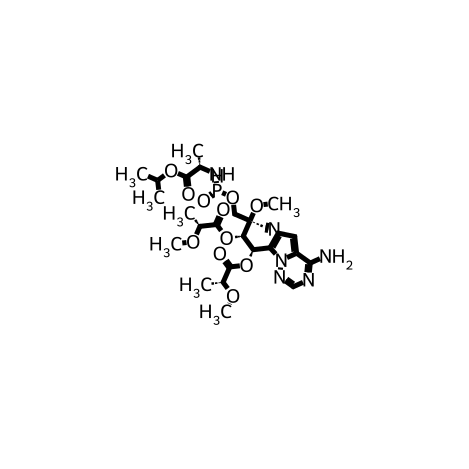 CO[C@H](C)C(=O)O[C@@H](c1ccc2c(N)ncnn12)[C@H](OC(=O)[C@@H](C)OC)[C@@](C#N)(CO[PH](=O)N[C@@H](C)C(=O)OC(C)C)OC